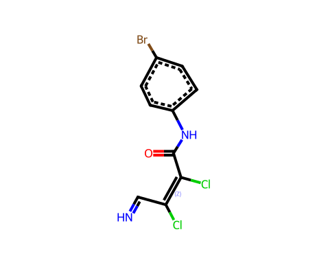 N=C/C(Cl)=C(/Cl)C(=O)Nc1ccc(Br)cc1